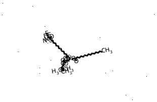 CCCCCCCCCCCCCCCC(=O)OC[C@H](COP(=O)([O-])OCC[N+](C)(C)C)OC(=O)CCCCCCCCCCCOC(=O)C(=[N+]=[N-])C(F)(F)F